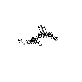 COc1cnc(-c2ccc(NC(=O)Nc3ccc(N4CCOCC4)nc3)cc2)nc1N